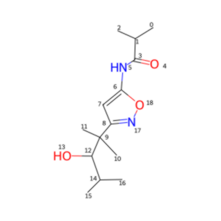 CC(C)C(=O)Nc1cc(C(C)(C)C(O)C(C)C)no1